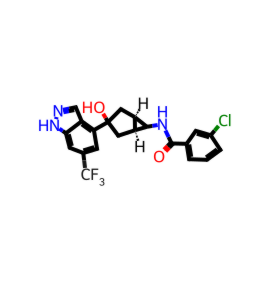 O=C(NC1[C@H]2CC(O)(c3cc(C(F)(F)F)cc4[nH]ncc34)C[C@@H]12)c1cccc(Cl)c1